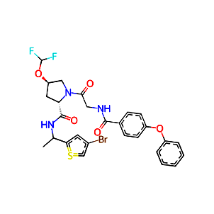 CC(NC(=O)[C@@H]1C[C@@H](OC(F)F)CN1C(=O)CNC(=O)c1ccc(Oc2ccccc2)cc1)c1cc(Br)cs1